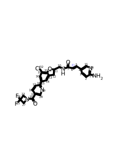 Nc1ccc(/C=C/C(=O)NCC2Cc3cc(-c4ccc(C(=O)N5CC(F)(F)C5)cn4)cc(Cl)c3O2)cn1